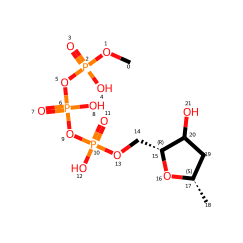 COP(=O)(O)OP(=O)(O)OP(=O)(O)OC[C@H]1O[C@@H](C)CC1O